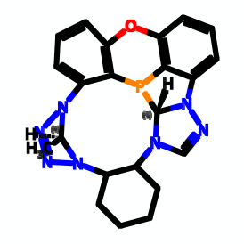 C[C@H]1N2N=NN1C1CCCCC1N1C=NN3c4cccc5c4P(c4c(cccc42)O5)[C@H]31